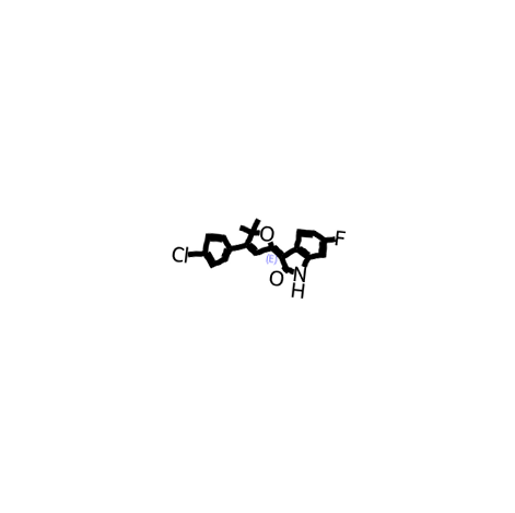 CC1(C)O/C(=C2/C(=O)Nc3cc(F)ccc32)C=C1c1ccc(Cl)cc1